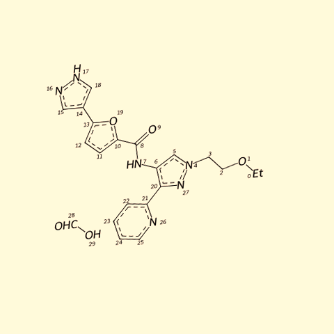 CCOCCn1cc(NC(=O)c2ccc(-c3cn[nH]c3)o2)c(-c2ccccn2)n1.O=CO